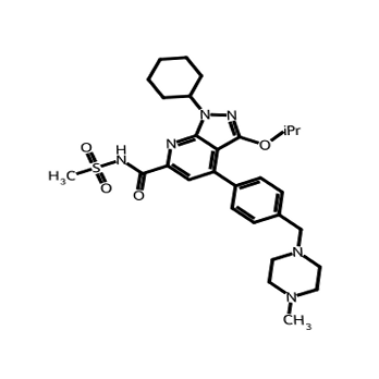 CC(C)Oc1nn(C2CCCCC2)c2nc(C(=O)NS(C)(=O)=O)cc(-c3ccc(CN4CCN(C)CC4)cc3)c12